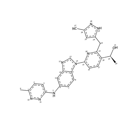 Cc1ccc(Nc2ccc3c(c2)ncn3-c2ccc([C@H](C)O)c(Cc3cc(C#N)n[nH]3)n2)nn1